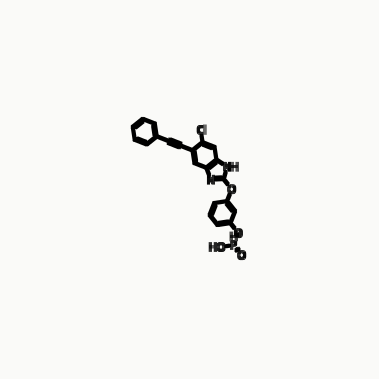 O=[PH](O)Oc1cccc(Oc2nc3cc(C#Cc4ccccc4)c(Cl)cc3[nH]2)c1